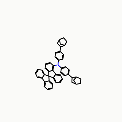 c1ccc2c(c1)-c1ccccc1C21c2ccccc2-c2c(N(c3ccc(C4CC5CCC4C5)cc3)c3ccc(C4CC5CCC4C5)cc3)cccc21